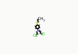 CCCSc1ccc(N(CCCl)CCCl)cc1